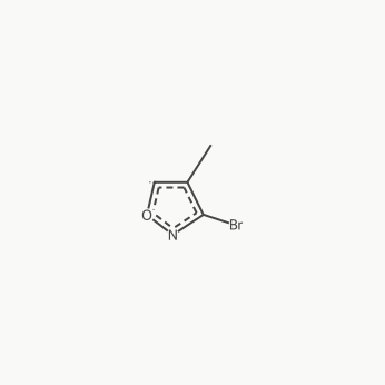 Cc1[c]onc1Br